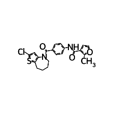 Cc1occc1C(=O)Nc1ccc(C(=O)N2CCCCc3sc(Cl)cc32)cc1